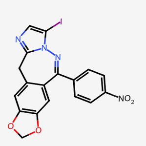 O=[N+]([O-])c1ccc(C2=Nn3c(I)cnc3Cc3cc4c(cc32)OCO4)cc1